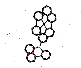 c1ccc(-c2ccccc2N(c2ccccc2)c2ccc3c4c(ccc3c2)-c2ccc3ccccc3c2C42c3ccccc3-c3ccccc32)cc1